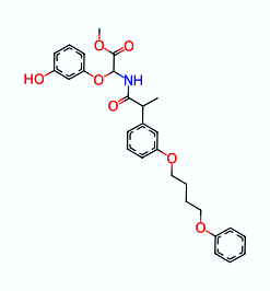 COC(=O)C(NC(=O)C(C)c1cccc(OCCCCOc2ccccc2)c1)Oc1cccc(O)c1